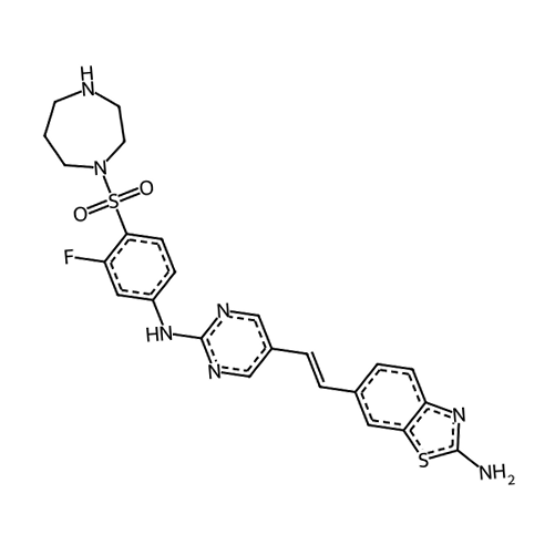 Nc1nc2ccc(C=Cc3cnc(Nc4ccc(S(=O)(=O)N5CCCNCC5)c(F)c4)nc3)cc2s1